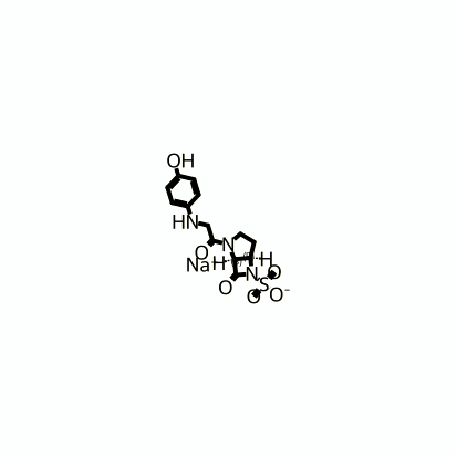 O=C(CNc1ccc(O)cc1)N1CC[C@@H]2[C@H]1C(=O)N2S(=O)(=O)[O-].[Na+]